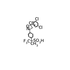 CC(c1ccc(C2=NOC(c3cc(Cl)cc(Cl)c3)(C(F)(F)F)C2)cc1)(C(F)(F)F)S(=O)(=O)O